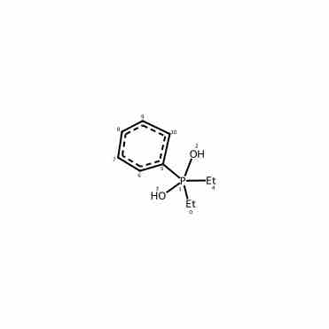 CCP(O)(O)(CC)c1ccccc1